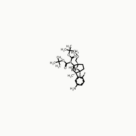 COC[C@]12CC[C@H]([C@@](C)(c3cc(N)ccc3F)N=C1N(C(=O)OC(C)(C)C)C(=O)OC(C)(C)C)S2(O)O